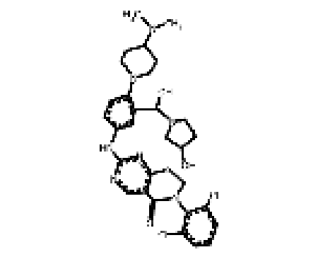 CN(C)C1CCN(c2ccc(Nc3ncc4c(n3)SCN(c3c(Cl)cccc3Cl)C4=O)cc2C(O)N2CCC(O)C2)CC1